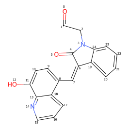 O=[C]CN1C(=O)C(=Cc2ccc(O)c3ncccc23)c2ccccc21